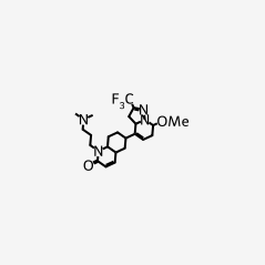 COC1CC=C(C2CCC3C(C=CC(=O)N3CCCN(C)C)C2)C2CC(C(F)(F)F)=NN12